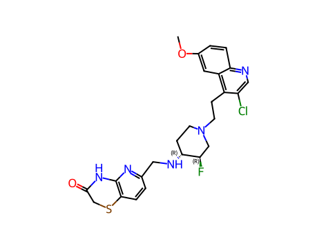 COc1ccc2ncc(Cl)c(CCN3CC[C@@H](NCc4ccc5c(n4)NC(=O)CS5)[C@H](F)C3)c2c1